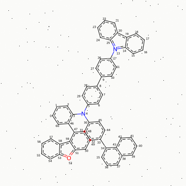 c1ccc(N(c2ccc(-c3ccc(-n4c5ccccc5c5ccccc54)cc3)cc2)c2ccc(-c3cccc4ccccc34)cc2)c(-c2cccc3oc4ccccc4c23)c1